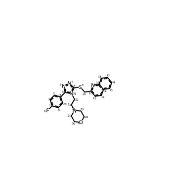 Fc1ccc(-c2nnc(SCc3ccc4ccccc4n3)n2CCN2CCOCC2)cc1